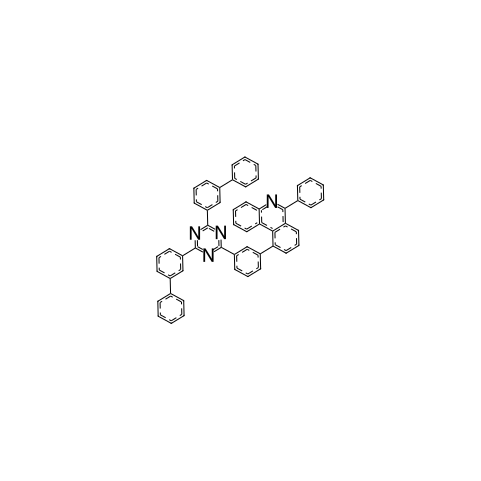 c1ccc(-c2cccc(-c3nc(-c4cccc(-c5ccccc5)c4)nc(-c4cccc(-c5cccc6c(-c7ccccc7)nc7ccccc7c56)c4)n3)c2)cc1